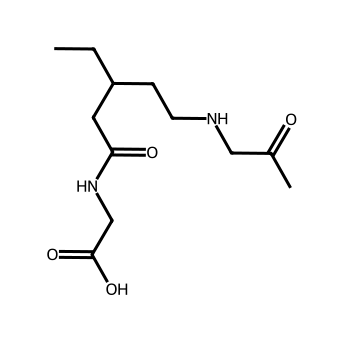 CCC(CCNCC(C)=O)CC(=O)NCC(=O)O